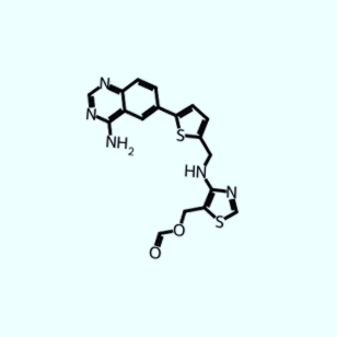 Nc1ncnc2ccc(-c3ccc(CNc4ncsc4COC=O)s3)cc12